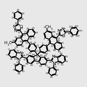 Cc1ccc2c(-c3ccc(C4(c5ccc(-c6c7ccccc7c(-c7nnc(-c8ccccc8)o7)c7cc(C)ccc67)cc5)c5cc(-c6nc7ccccc7n6-c6ccccc6)ccc5-c5ccc(-c6nc7ccccc7n6-c6ccccc6)cc54)cc3)c3ccccc3c(-c3nnc(-c4ccccc4)o3)c2c1